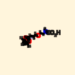 CN(CCOC/C=C/B1OC(C)(C)C(C)(C)O1)C(=O)O